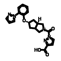 O=C(O)c1ccn(C(=O)N2CC3C[C@H](Oc4ccccc4-n4cccn4)C[C@H]3C2)n1